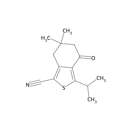 CC(C)c1sc(C#N)c2c1C(=O)CC(C)(C)C2